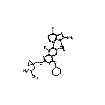 CN(C)CC1(COc2nc(OC3CCCCC3)c3cc(Cl)c(-c4ccc(F)c5sc(N)c(C#N)c45)c(F)c3n2)CC1